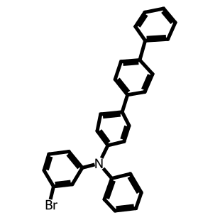 Brc1cccc(N(c2ccccc2)c2ccc(-c3ccc(-c4ccccc4)cc3)cc2)c1